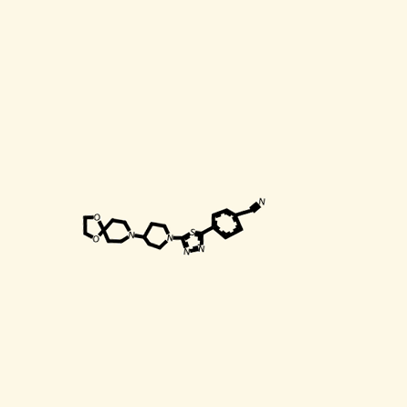 N#Cc1ccc(-c2nnc(N3CCC(N4CCC5(CC4)OCCO5)CC3)s2)cc1